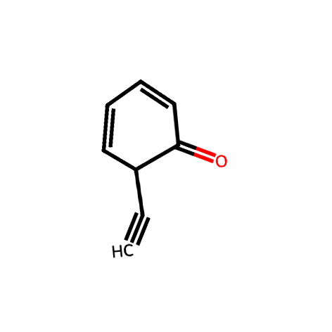 C#CC1C=CC=CC1=O